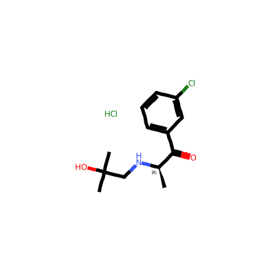 C[C@@H](NCC(C)(C)O)C(=O)c1cccc(Cl)c1.Cl